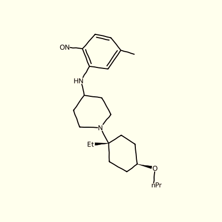 CCCO[C@H]1CC[C@](CC)(N2CCC(Nc3cc(C)ccc3N=O)CC2)CC1